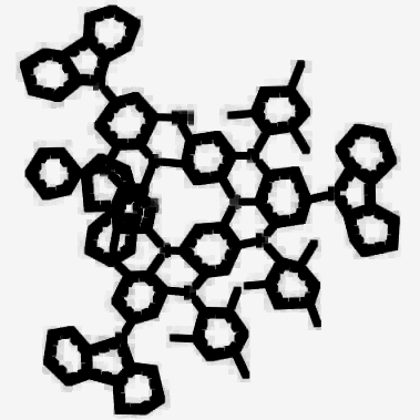 Cc1cc(C)c(N2c3cc4c(cc3B3c5sc6ccccc6c5Oc5cc(-n6c7ccccc7c7ccccc76)cc2c53)B2c3cc5c(cc3N(c3c(C)cc(C)cc3C)c3cc(-n6c7ccccc7c7ccccc76)cc(c32)N4c2c(C)cc(C)cc2C)Nc2cc(-n3c4ccccc4c4ccccc43)cc3c2B5c2sc4ccccc4c2N3c2ccccc2)c(C)c1